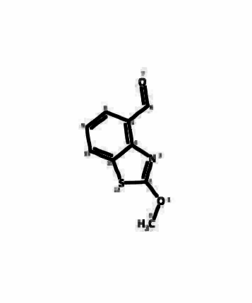 COc1nc2c(C=O)cccc2s1